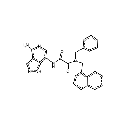 Nc1ncc(NC(=O)C(=O)N(Cc2ccccc2)Cc2cccc3ccccc23)c2[nH]ncc12